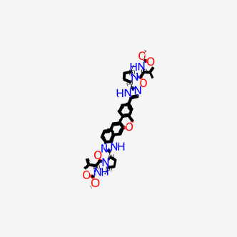 COC(=O)N[C@H](C(=O)N1[C@@H](C)CC[C@H]1c1ncc(-c2ccc3c(c2)COc2cc4c(ccc5nc([C@@H]6CC[C@H](C)N6C(=O)[C@@H](NC(=O)OC)C(C)C)[nH]c54)cc2-3)[nH]1)C(C)C